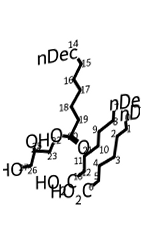 CCCCCCCCCCCCCCCC(=O)O.CCCCCCCCCCCCCCCC(=O)O.CCCCCCCCCCCCCCCC(=O)OCC(O)CO